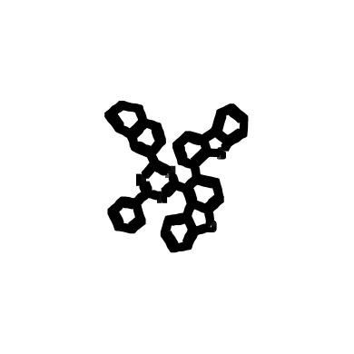 C1=Cc2cc(-c3nc(-c4ccccc4)nc(-c4c(-c5cccc6c5sc5ccccc56)ccc5oc6ccccc6c45)n3)ccc2CC1